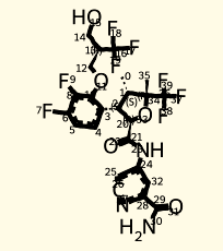 C[C@H]1[C@@H](c2ccc(F)c(F)c2OC[C@@H](CO)C(F)(F)F)[C@H](C(=O)Nc2ccnc(C(N)=O)c2)O[C@@]1(C)C(F)(F)F